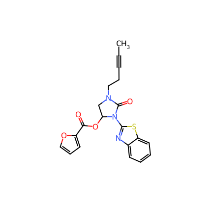 CC#CCCN1CC(OC(=O)c2ccco2)N(c2nc3ccccc3s2)C1=O